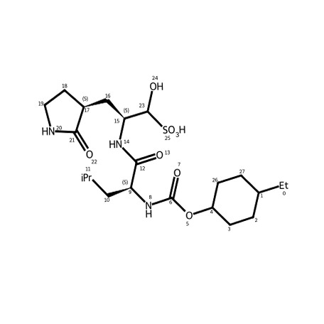 CCC1CCC(OC(=O)N[C@@H](CC(C)C)C(=O)N[C@@H](C[C@@H]2CCNC2=O)C(O)S(=O)(=O)O)CC1